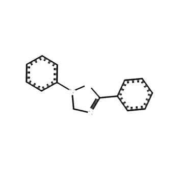 c1ccc(C2=NCN(c3ccccc3)O2)cc1